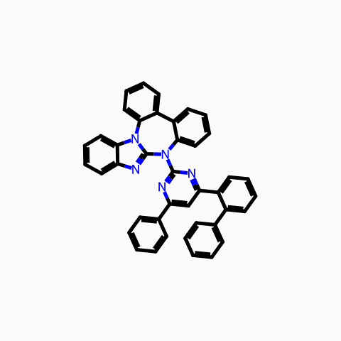 c1ccc(-c2cc(-c3ccccc3-c3ccccc3)nc(N3c4ccccc4-c4ccccc4-n4c3nc3ccccc34)n2)cc1